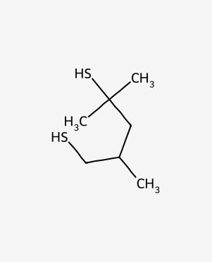 CC(CS)CC(C)(C)S